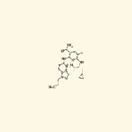 COCCn1ncc2cc(Nc3nc(N[C@H](CC4CC4)[C@H](C)N)c(F)cc3C(N)=O)ccc21